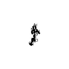 CC(=O)N1CCn2c(nc3c2C(c2sc(C)nc2C)N(C(=O)COc2ccc(-c4ncco4)nc2Cl)CC3)C1